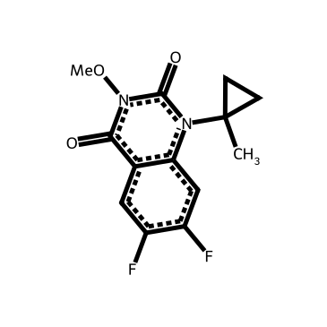 COn1c(=O)c2cc(F)c(F)cc2n(C2(C)CC2)c1=O